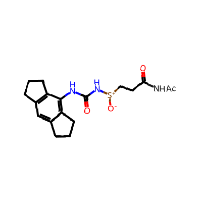 CC(=O)NC(=O)CC[S+]([O-])NC(=O)Nc1c2c(cc3c1CCC3)CCC2